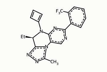 CC[C@@H]1c2nnc(C)n2-c2cnc(-c3ccccc3C(F)(F)F)nc2N1C1=CC=C1